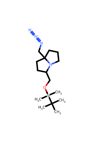 CC(C)(C)[Si](C)(C)OCC1CCC2(CN=[N+]=[N-])CCCN12